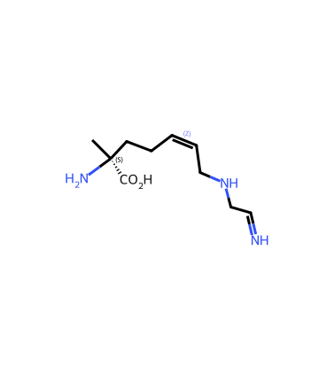 C[C@](N)(CC/C=C\CNCC=N)C(=O)O